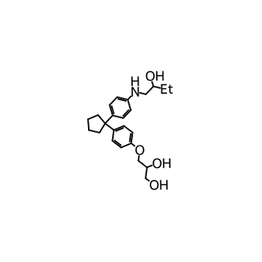 CCC(O)CNc1ccc(C2(c3ccc(OCC(O)CO)cc3)CCCC2)cc1